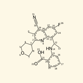 Cc1c(C2CCOCC2)nc2c(C(C)Nc3ccccc3C(=O)O)cc(F)cc2c1C#N